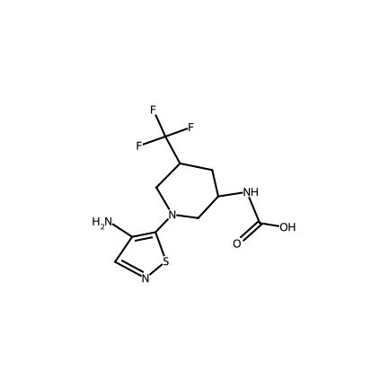 Nc1cnsc1N1CC(NC(=O)O)CC(C(F)(F)F)C1